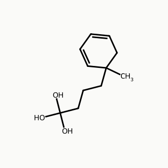 CC1(CCCC(O)(O)O)C=CC=CC1